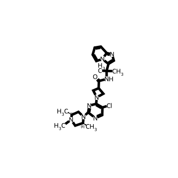 C[C@@H]1CN(c2ncc(Cl)c(N3CC(C(=O)NC(C)(C)c4cnc5ccccn45)C3)n2)[C@H](C)CN1C